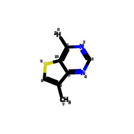 [2H]c1ncnc2c(C)csc12